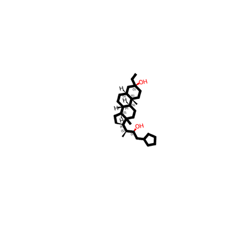 CC[C@]1(O)CC[C@@]2(C)[C@@H](CC[C@H]3[C@@H]4CC[C@H]([C@H](C)[C@@H](O)CC5CCCC5)C4(C)CC[C@@H]32)C1